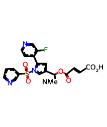 CNC(OC(=O)/C=C/C(=O)O)c1cc(-c2ccncc2F)n(S(=O)(=O)c2cccnc2)c1